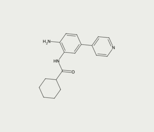 Nc1ccc(-c2ccncc2)cc1NC(=O)C1CCCCC1